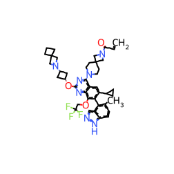 C=CC(=O)N1CC2(CCN(c3nc(O[C@H]4C[C@@H](N5CC6(CCC6)C5)C4)nc4c(OCC(F)(F)F)c(-c5c(C)ccc6[nH]ncc56)c(C5CC5)cc34)CC2)C1